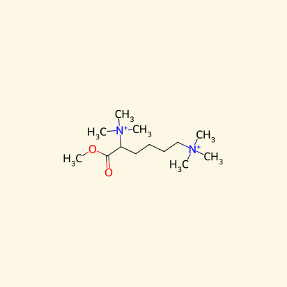 COC(=O)C(CCCC[N+](C)(C)C)[N+](C)(C)C